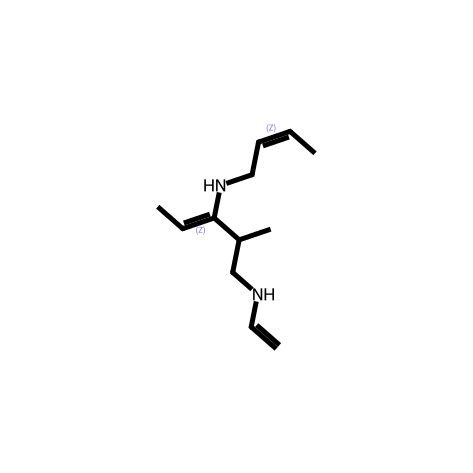 C=CNCC(C)/C(=C/C)NC/C=C\C